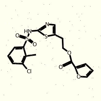 Cc1c(Cl)cccc1S(=O)(=O)Nc1ncc(CCOC(=O)c2ccco2)s1